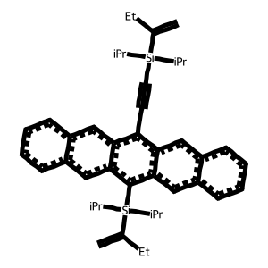 C=C(CC)[Si](C#Cc1c2cc3ccccc3cc2c([Si](C(=C)CC)(C(C)C)C(C)C)c2cc3ccccc3cc12)(C(C)C)C(C)C